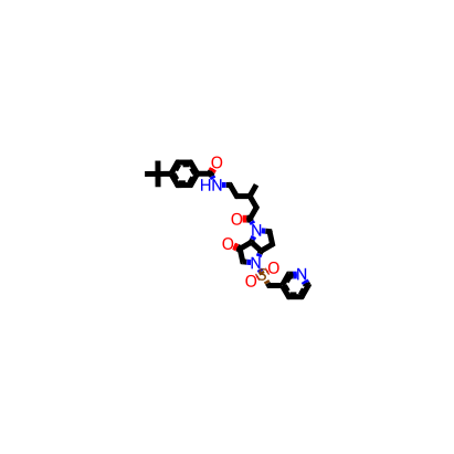 CC(CCNC(=O)c1ccc(C(C)(C)C)cc1)CC(=O)N1CCC2C1C(=O)CN2S(=O)(=O)Cc1cccnc1